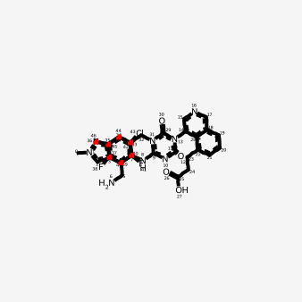 Cn1cc2c(CN)c(Nc3nc(=O)n(-c4cncc5cccc(CCC(=O)O)c45)c(=O)n3Cc3cc(F)c(F)cc3F)c(Cl)cc2n1